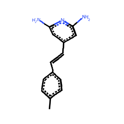 Cc1ccc(/C=C/c2cc(N)nc(N)c2)cc1